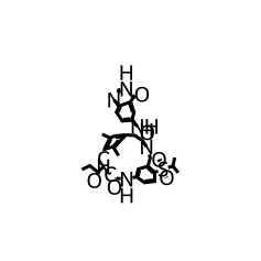 CCC(=O)N1CC(=O)Nc2ccc(S(=O)(=O)C(C)C)c(c2)CNC(=O)C(Nc2ccc3nc[nH]c(=O)c3c2)c2cc(C)c(c(C)c2)C1